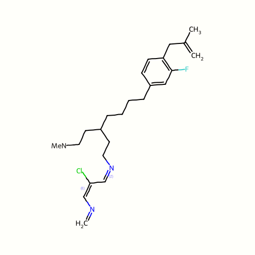 C=N/C=C(Cl)\C=N/CCC(CCCCc1ccc(CC(=C)C)c(F)c1)CCNC